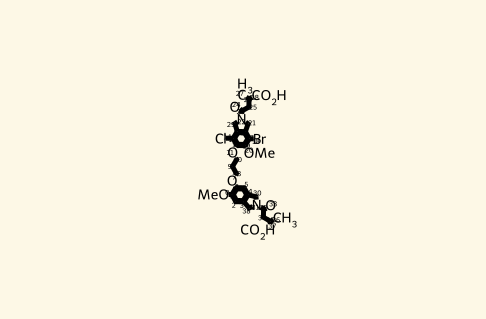 COc1cc2c(cc1OCCCOc1c(Cl)c3c(c(Br)c1OC)CN(C(=O)CC(C)C(=O)O)C3)CN(C(=O)CC(C)C(=O)O)C2